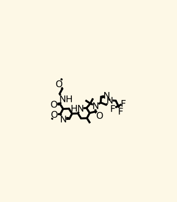 COCCNC(=O)C1CC(C2CC(C)C3C(=O)N(C4C=NN(CC(F)(F)F)C4)C(C)(C)C3N2)C=NC1OC